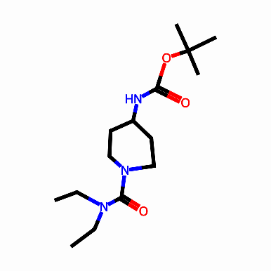 CCN(CC)C(=O)N1CCC(NC(=O)OC(C)(C)C)CC1